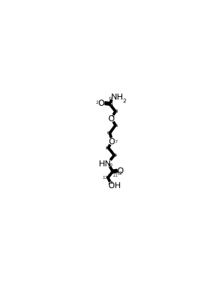 NC(=O)COCCOCCNC(=O)CO